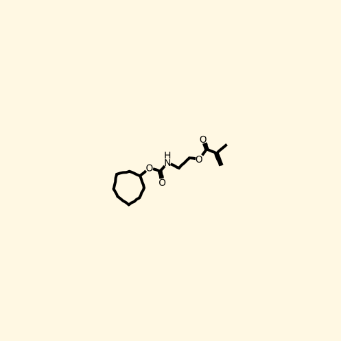 C=C(C)C(=O)OCCNC(=O)OC1CCCCCCC1